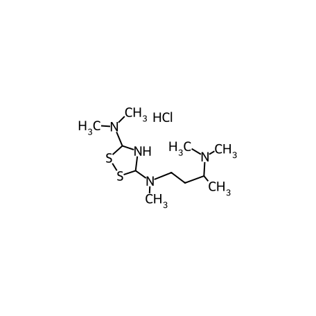 CC(CCN(C)C1NC(N(C)C)SS1)N(C)C.Cl